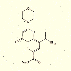 BC(C)c1cc(C(=O)OC)cc2c(=O)cc(N3CCOCC3)oc12